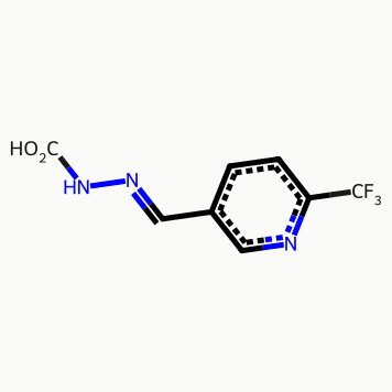 O=C(O)NN=Cc1ccc(C(F)(F)F)nc1